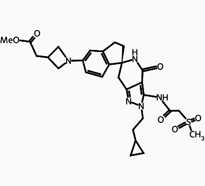 COC(=O)CC1CN(c2ccc3c(c2)CC[C@@]32Cc3nn(CCC4CC4)c(NC(=O)CS(C)(=O)=O)c3C(=O)N2)C1